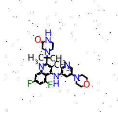 Cc1c(C(C)(C)N2CCNC(=O)C2)nc2cc(F)cc(F)c2c1Nc1cncc(N2CCOCC2)c1